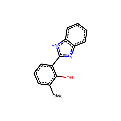 COc1cccc(-c2nc3ccccc3[nH]2)c1O